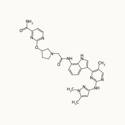 Cc1cnc(Nc2cc(C)n(C)n2)nc1-c1c[nH]c2c(NC(=O)CN3CCC(Oc4nccc(C(N)=O)n4)C3)cccc12